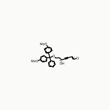 COc1ccc(C(OCC[C@@H](O)C#C/C=C/Cl)(c2ccccc2)c2ccc(OC)cc2)cc1